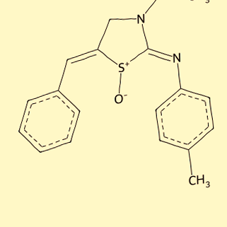 CCN1CC(=Cc2ccccc2)[S+]([O-])C1=Nc1ccc(C)cc1